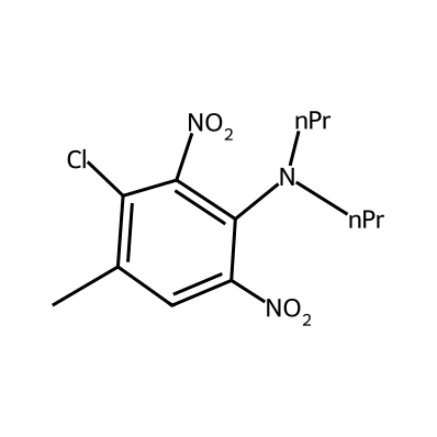 CCCN(CCC)c1c([N+](=O)[O-])cc(C)c(Cl)c1[N+](=O)[O-]